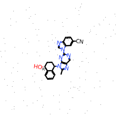 Cc1nc2cnc(-n3cnc4ccc(C#N)cc43)nc2n1C1CC[C@@H](O)c2ccccc21